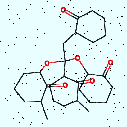 CC1CCCC(OC(CC2CCCCC2=O)(OC2CCCCC2=O)C2CCCC(C)C2=O)C1=O